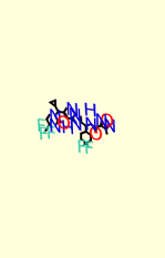 Cc1nonc1C(=O)NC(c1cn2ncc(C(C3CC3)N3CCC(C(F)(F)F)NC3=O)cc2n1)C1CCC(F)(F)CC1